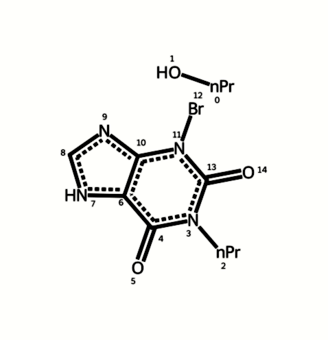 CCCO.CCCn1c(=O)c2[nH]cnc2n(Br)c1=O